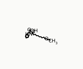 CCCOCCCCCCCCCC(=O)NC(Cc1ccccc1)C(=O)O